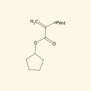 C=C(CCCCC)C(=O)OC1CCCC1